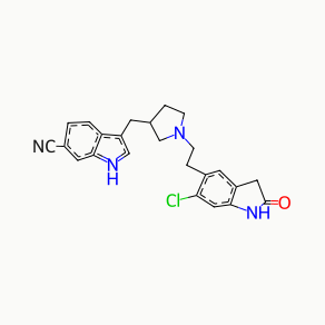 N#Cc1ccc2c(CC3CCN(CCc4cc5c(cc4Cl)NC(=O)C5)C3)c[nH]c2c1